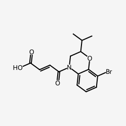 CC(C)C1CN(C(=O)/C=C/C(=O)O)c2cccc(Br)c2O1